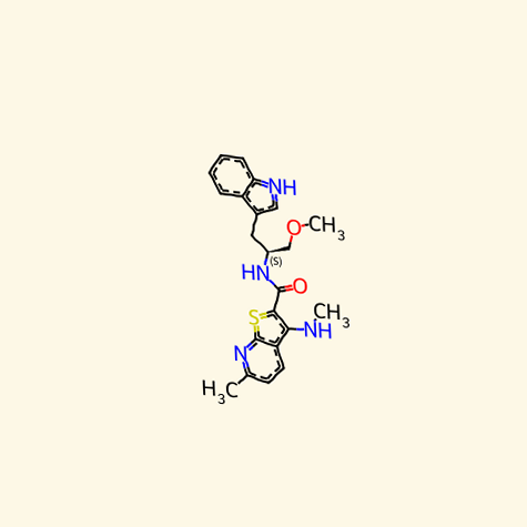 CNc1c(C(=O)N[C@H](COC)Cc2c[nH]c3ccccc23)sc2nc(C)ccc12